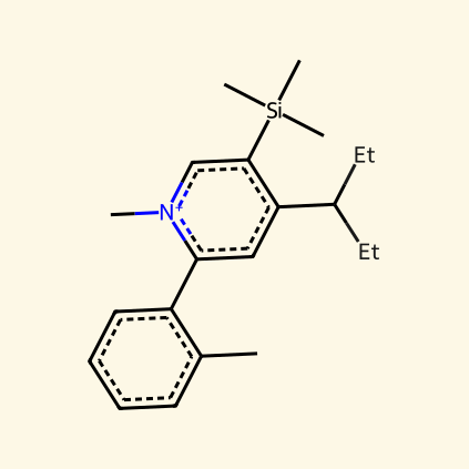 CCC(CC)c1cc(-c2ccccc2C)[n+](C)cc1[Si](C)(C)C